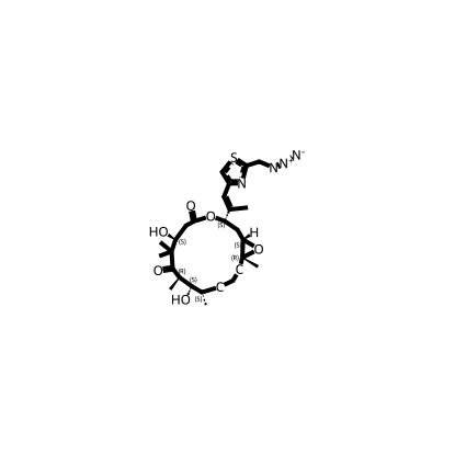 CC(=Cc1csc(CN=[N+]=[N-])n1)[C@@H]1C[C@@H]2O[C@]2(C)CCC[C@H](C)[C@H](O)[C@@H](C)C(=O)C(C)(C)[C@@H](O)CC(=O)O1